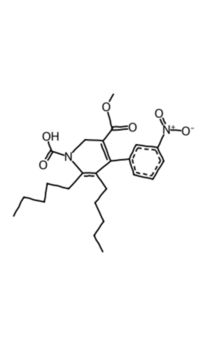 CCCCCC1=C(CCCCC)N(C(=O)O)CC(C(=O)OC)=C1c1cccc([N+](=O)[O-])c1